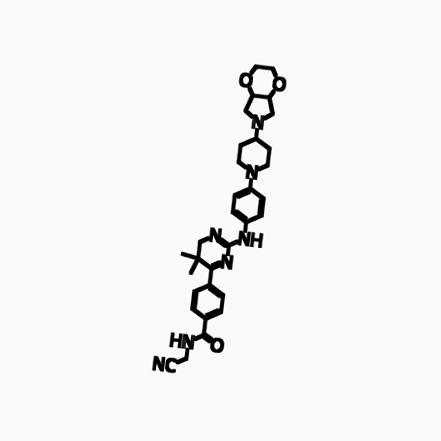 CC1(C)CN=C(Nc2ccc(N3CCC(N4CC5OCCOC5C4)CC3)cc2)N=C1c1ccc(C(=O)NCC#N)cc1